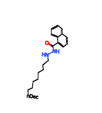 CCCCCCCCCCCCCCCCCCNNC(=O)c1cccc2ccccc12